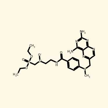 CCOP(=O)(C[S+]([O-])CCNC(=O)c1ccc(N(C)Cc2cnc3nc(N)nc(N)c3n2)cc1)OCC